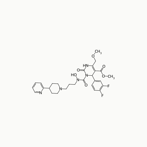 COCC1=C(C(=O)OC)C(c2ccc(F)c(F)c2)N(C(=O)N(O)CCCN2CCC(c3ccccn3)CC2)C(=O)N1